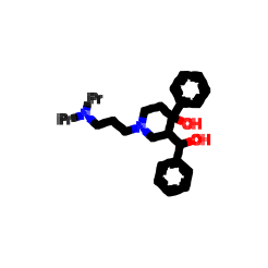 CC(C)N(CCCN1CCC(O)(c2ccccc2)C(C(O)c2ccccc2)C1)C(C)C